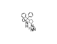 NC(=O)C(c1ccccc1)(c1ccccc1)C1CC[C@H](n2cnnc2)C1